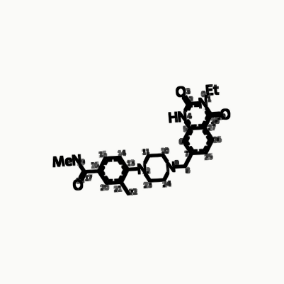 CCn1c(=O)[nH]c2cc(CN3CCN(c4ccc(C(=O)NC)cc4C)CC3)ccc2c1=O